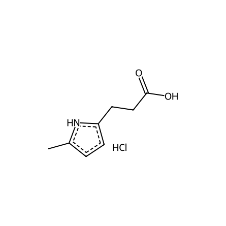 Cc1ccc(CCC(=O)O)[nH]1.Cl